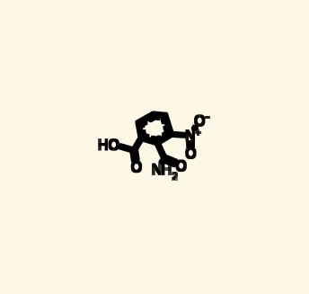 NC(=O)c1c(C(=O)O)cccc1[N+](=O)[O-]